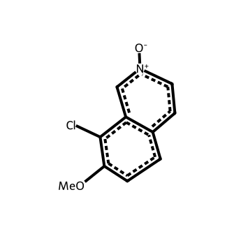 COc1ccc2cc[n+]([O-])cc2c1Cl